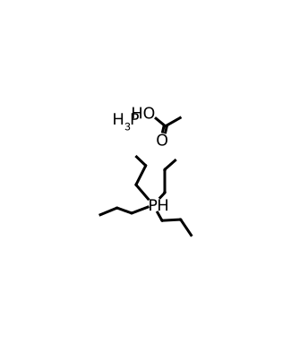 CC(=O)O.CCC[PH](CCC)(CCC)CCC.P